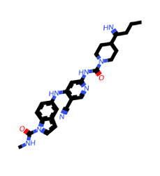 CCCC(=N)C1CCN(C(=O)Nc2cc(Nc3ccc4c(ccn4C(=O)NC)c3)c(C#N)cn2)CC1